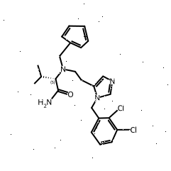 CC(C)[C@@H](C(N)=O)N(CCc1cncn1Cc1cccc(Cl)c1Cl)Cc1ccccc1